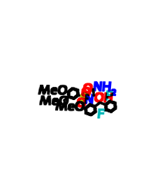 COc1ccc(S(=O)(=O)N(CC(N)=O)c2c(OC)cccc2C(O)c2c(F)cccc2F)cc1OC